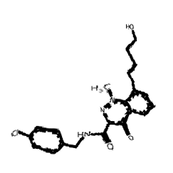 Cn1nc(C(=O)NCc2ccc(Cl)cc2)c(=O)c2cccc(CCCCO)c21